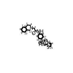 O=C(CN1CCc2ccccc2C1)Nc1ccc(S(=O)(=O)Nc2nccs2)cc1